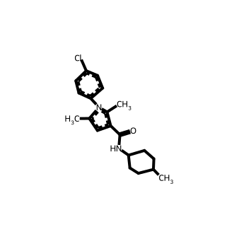 Cc1cc(C(=O)NC2CCC(C)CC2)c(C)n1-c1ccc(Cl)cc1